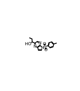 CCC(O)c1cnc2c(ccn2S(=O)(=O)c2ccc(C)cc2)n1